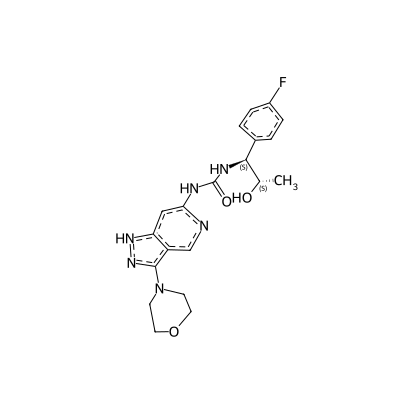 C[C@H](O)[C@@H](NC(=O)Nc1cc2[nH]nc(N3CCOCC3)c2cn1)c1ccc(F)cc1